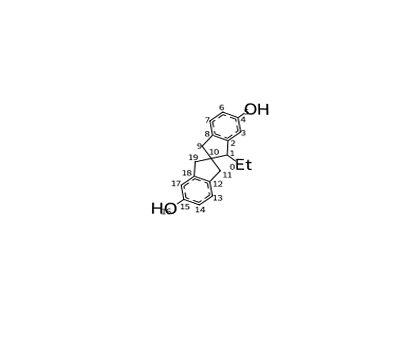 CCC1c2cc(O)ccc2CC12Cc1ccc(O)cc1C2